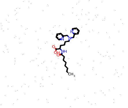 CCCCCCCC(=O)NC(CCCCN(Cc1ccccn1)Cc1ccccn1)C(=O)O